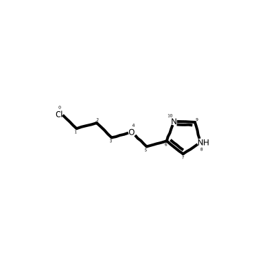 ClCCCOCc1c[nH]cn1